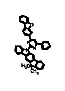 CC1(C)c2ccccc2-c2cc3c(cc21)c1ccccc1n3-c1nc(-c2ccccc2)cc(-c2ccc3c(c2)oc2ccccc23)n1